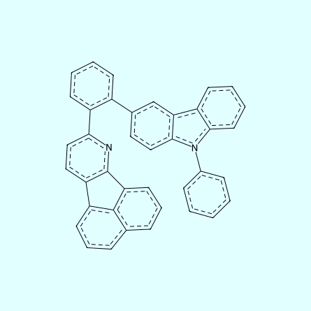 c1ccc(-n2c3ccccc3c3cc(-c4ccccc4-c4ccc5c(n4)-c4cccc6cccc-5c46)ccc32)cc1